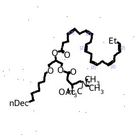 CC/C=C\C/C=C\C/C=C\C/C=C\C/C=C\C/C=C\CCC(=O)OC(COCCCCCCCCCCCCCCCC)COC(=O)CC(C[N+](C)(C)C)OC(C)=O